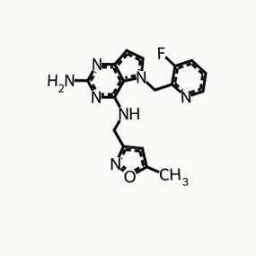 Cc1cc(CNc2nc(N)nc3ccn(Cc4ncccc4F)c23)no1